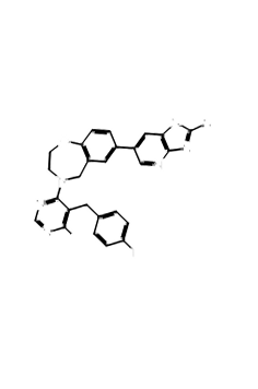 Cc1ncnc(N2CCOc3ccc(-c4cnc5nc(N)[nH]c5c4)cc3C2)c1Cc1ccc(F)cc1